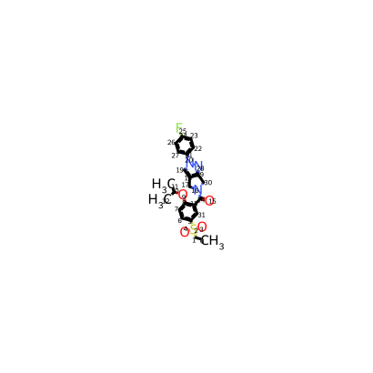 CCS(=O)(=O)c1ccc(OC(C)C)c(C(=O)N2Cc3cn(-c4ccc(F)cc4)nc3C2)c1